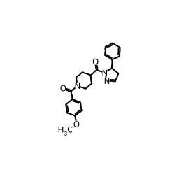 COc1ccc(C(=O)N2CCC(C(=O)N3N=CCC3c3ccccc3)CC2)cc1